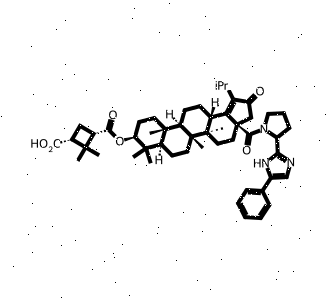 CC(C)C1=C2[C@H]3CC[C@@H]4[C@@]5(C)CC[C@H](OC(=O)[C@H]6C[C@@H](C(=O)O)C6(C)C)C(C)(C)[C@@H]5CC[C@@]4(C)[C@]3(C)CC[C@@]2(C(=O)N2CCCC2c2ncc(-c3ccccc3)[nH]2)CC1=O